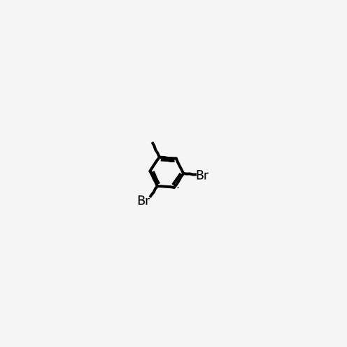 Cc1cc(Br)[c]c(Br)c1